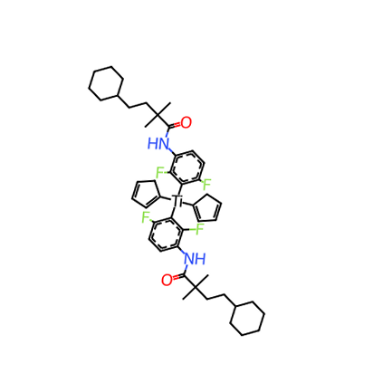 CC(C)(CCC1CCCCC1)C(=O)Nc1ccc(F)[c]([Ti]([C]2=CC=CC2)([C]2=CC=CC2)[c]2c(F)ccc(NC(=O)C(C)(C)CCC3CCCCC3)c2F)c1F